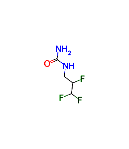 NC(=O)NCC(F)C(F)F